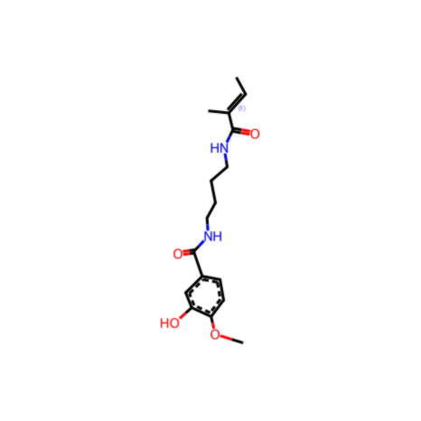 C/C=C(\C)C(=O)NCCCCNC(=O)c1ccc(OC)c(O)c1